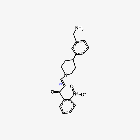 NCc1cccc(C2CCN(/C=C/C(=O)c3ccccc3[N+](=O)[O-])CC2)c1